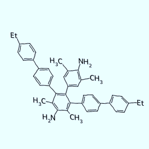 CCc1ccc(-c2ccc(-c3c(C)c(N)c(C)c(-c4ccc(-c5ccc(CC)cc5)cc4)c3-c3cc(C)c(N)c(C)c3)cc2)cc1